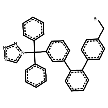 BrCc1ccc(-c2ccccc2-c2cccc(C(c3ccccc3)(c3ccccc3)n3cnnn3)c2)cc1